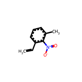 C=Cc1cccc(C)c1[N+](=O)[O-]